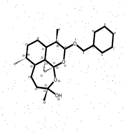 C[C@H]1C(OCC2CCCCC2)O[C@]23C[C@]24C1CC[C@@H](C)C4CC[C@@](C)(O)O3